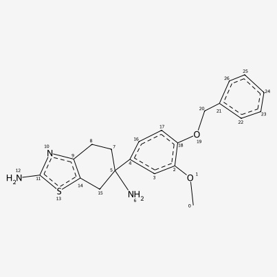 COc1cc(C2(N)CCc3nc(N)sc3C2)ccc1OCc1ccccc1